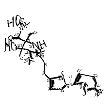 CC(NCCCc1ccc(-c2ccc(Br)s2)s1)(C(=O)NO)C(C)(O)C(F)F